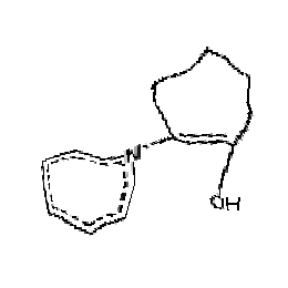 OC1=C([n+]2ccccc2)CCCC1